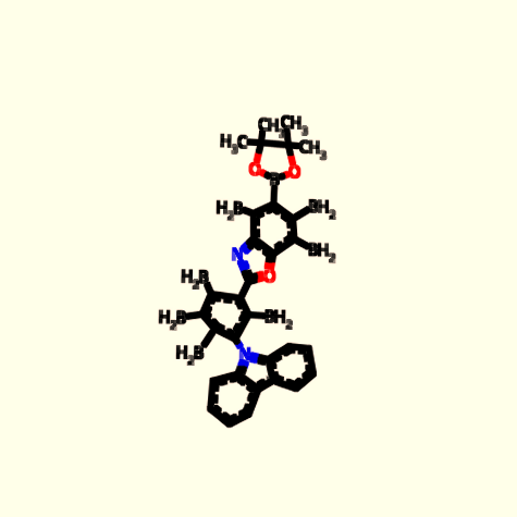 Bc1c(B)c(-c2nc3c(B)c(B4OC(C)(C)C(C)(C)O4)c(B)c(B)c3o2)c(B)c(-n2c3ccccc3c3ccccc32)c1B